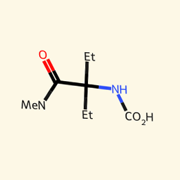 CCC(CC)(NC(=O)O)C(=O)NC